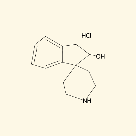 Cl.OC1Cc2ccccc2C12CCNCC2